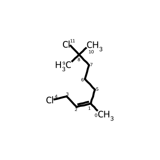 CC(=CCCl)CCCC(C)(C)Cl